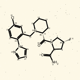 NC(=O)C1C[C@@H](F)CN1C(=O)[C@H]1CCCCN1Cc1cc(Cl)ccc1-n1cncn1